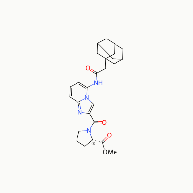 COC(=O)[C@@H]1CCCN1C(=O)c1cn2c(NC(=O)CC34CC5CC(CC(C5)C3)C4)cccc2n1